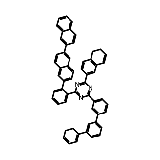 C1=CCCC(c2cccc(-c3cccc(-c4nc(-c5ccc6c(c5)C=CCC6)nc(-c5ccccc5-c5ccc6cc(-c7ccc8ccccc8c7)ccc6c5)n4)c3)c2)=C1